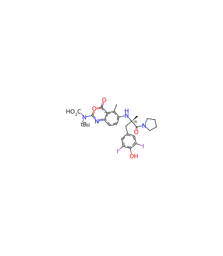 Cc1c(N[C@@](C)(Cc2cc(I)c(O)c(I)c2)C(=O)N2CCCC2)ccc2nc(N(C(=O)O)C(C)(C)C)oc(=O)c12